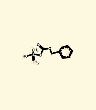 C=P(C)(O)OC(=O)OCc1ccccc1